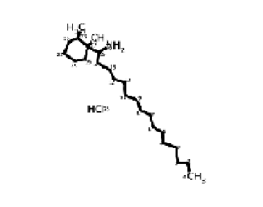 CCCCCCCCCCCCCCCC(N)C1(C)CCCCC1C.Cl